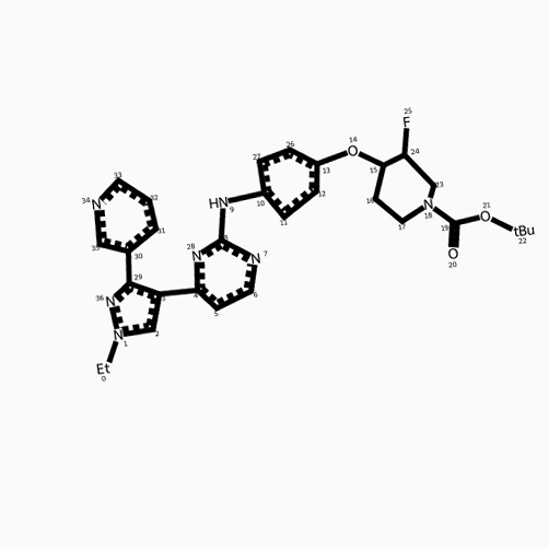 CCn1cc(-c2ccnc(Nc3ccc(OC4CCN(C(=O)OC(C)(C)C)CC4F)cc3)n2)c(-c2cccnc2)n1